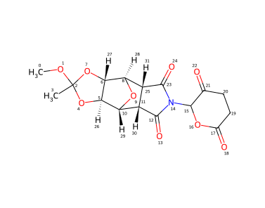 COC1(C)O[C@H]2[C@H](O1)[C@@H]1O[C@@H]2[C@H]2C(=O)N(C3OC(=O)CCC3=O)C(=O)[C@@H]12